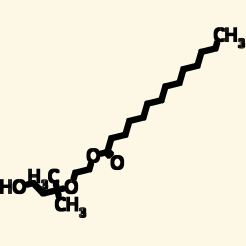 CCCCCCCCCCCCCC(=O)OCCOC(C)(C)CCO